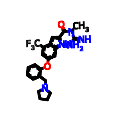 CN(C(=N)N)C(=O)c1cc2c(C(F)(F)F)cc(Oc3ccccc3CN3CCCC3)cc2[nH]1